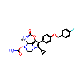 CC(C)(C)C1c2c(OC(N)=O)c(-c3ccc(OCc4ccc(F)cc4)cc3)c(C3CC3)n2CCN1OC(N)=O